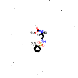 CCC(CC)(CCNS(=O)(=O)c1ccccc1[N+](=O)[O-])NC(=O)OC(C)(C)C